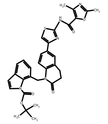 Cc1nc(C)c(C(=O)Nc2nc(-c3ccc4c(c3)CCC(=O)N4Cc3cccc4ccn(C(=O)OC(C)(C)C)c34)cs2)o1